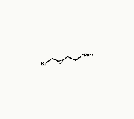 CCCCCCCSCC(C)CC